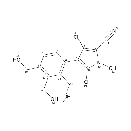 N#Cc1c(Cl)c(-c2ccc(CO)c(CO)c2CO)c(Cl)n1O